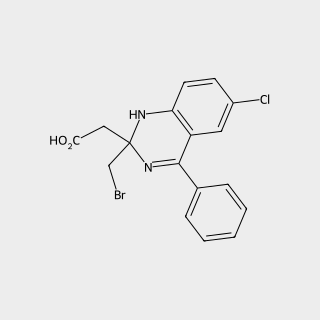 O=C(O)CC1(CBr)N=C(c2ccccc2)c2cc(Cl)ccc2N1